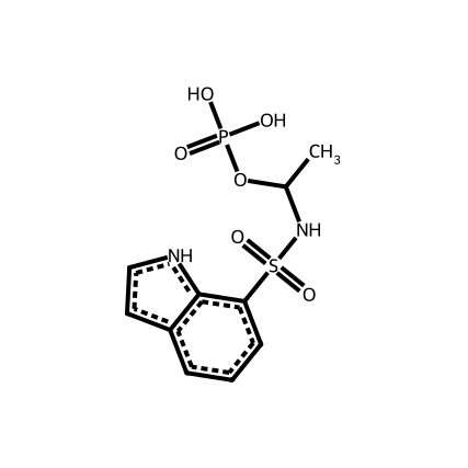 CC(NS(=O)(=O)c1cccc2cc[nH]c12)OP(=O)(O)O